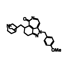 COc1ccc(Cn2nc3c4c(c(=O)nccc42)C(CC2CN4CCC2CC4)CC3)cc1